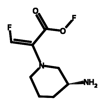 N[C@@H]1CCCN(C(=CF)C(=O)OF)C1